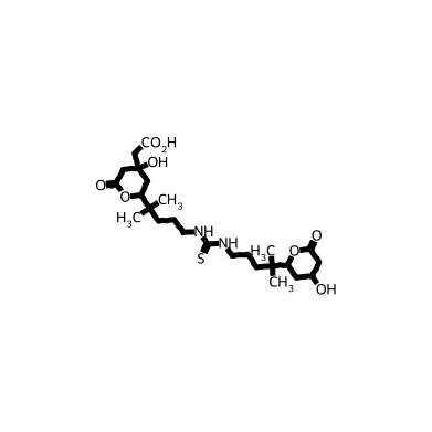 CC(C)(CCCNC(=S)NCCCC(C)(C)C1CC(O)(CC(=O)O)CC(=O)O1)C1CC(O)CC(=O)O1